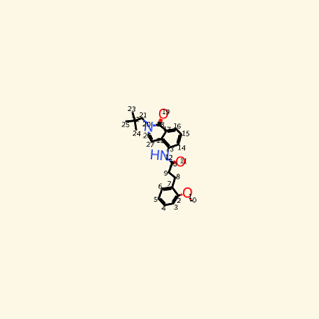 COc1ccccc1CCC(=O)Nc1cccc2c(=O)n(CC(C)(C)C)ccc12